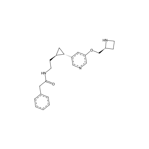 O=C(Cc1ccccc1)NCC[C@H]1C[C@@H]1c1cncc(OC[C@@H]2CCN2)c1